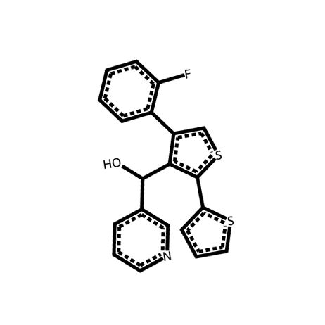 OC(c1cccnc1)c1c(-c2ccccc2F)csc1-c1cccs1